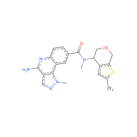 CN(C(=O)c1ccc2nc(N)c3cnn(C)c3c2c1)C1COCc2sc(C(F)(F)F)cc21